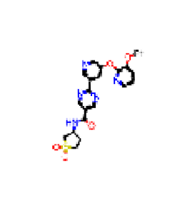 CCOc1cccnc1Oc1cncc(-c2ncc(C(=O)NC3CCS(=O)(=O)C3)cn2)c1